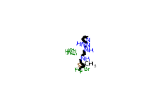 Cc1c(CNCCCNc2nc3ncccc3[nH]2)sc(C(F)F)c1Br.Cl.Cl